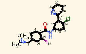 CN(C)Cc1ccc(C(=O)Nc2ccc(Cl)c(-c3ccccn3)c2)c(I)c1